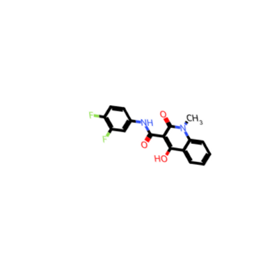 Cn1c(=O)c(C(=O)Nc2ccc(F)c(F)c2)c(O)c2ccccc21